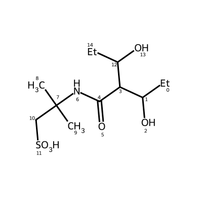 CCC(O)C(C(=O)NC(C)(C)CS(=O)(=O)O)C(O)CC